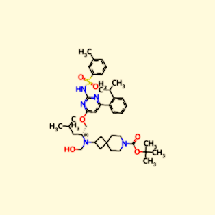 Cc1cccc(S(=O)(=O)Nc2nc(OC[C@@H](CC(C)C)N(CO)C3CC4(CCN(C(=O)OC(C)(C)C)CC4)C3)cc(-c3ccccc3C(C)C)n2)c1